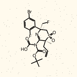 C=CC[C@@]1(C)C(N(C(=O)O)C(=O)OC(C)(C)C)=N[C@@](CF)(c2cc(Br)ccc2F)CS1(=O)=O